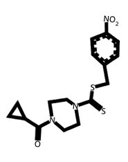 O=C(C1CC1)N1CCN(C(=S)SCc2ccc([N+](=O)[O-])cc2)CC1